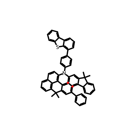 CC1(C)c2ccccc2-c2ccc(N(c3ccc(-c4cccc5c4sc4ccccc45)cc3)c3ccc4cccc5c4c3-c3ccc(-c4ccccc4)cc3C5(C)C)cc21